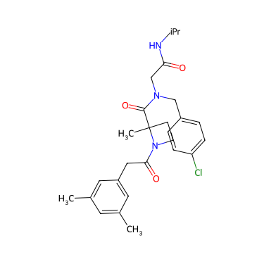 Cc1cc(C)cc(CC(=O)N2CCC2(C)C(=O)N(CC(=O)NC(C)C)Cc2ccc(Cl)cc2)c1